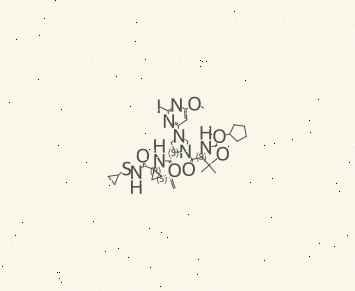 C=C[C@@H]1C[C@]1(NC(=O)[C@@H]1CN(c2cc(OC)nc(I)n2)CN1C(=O)[C@@H](NC(=O)OC1CCCC1)C(C)(C)C)C(=O)NSC1CC1